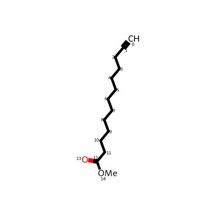 C#CCCCCCCCCCCC(=O)OC